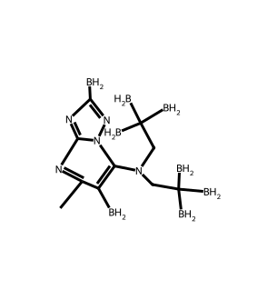 Bc1nc2nc(C)c(B)c(N(CC(B)(B)B)CC(B)(B)B)n2n1